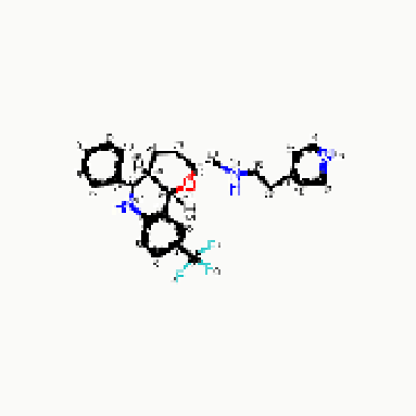 FC(F)(F)c1ccc2c(c1)[C@H]1O[C@@H](CNCCc3ccncc3)CC[C@H]1[C@H](c1ccccc1)N2